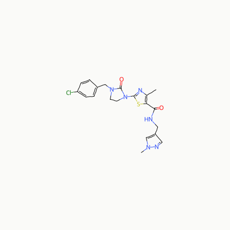 Cc1nc(N2CCN(Cc3ccc(Cl)cc3)C2=O)sc1C(=O)NCc1cnn(C)c1